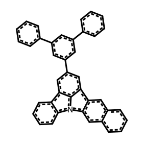 c1ccc(-c2cc(-c3ccccc3)cc(-c3cc4c5ccccc5n5c6cc7ccccc7cc6c(c3)c45)c2)cc1